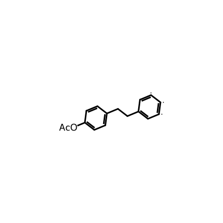 CC(=O)Oc1ccc(CCc2c[c][c][c]c2)cc1